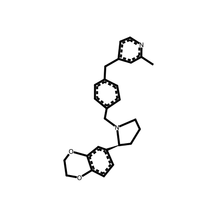 Cc1cc(Cc2ccc(CN3CCC[C@H]3c3ccc4c(c3)OCCO4)cc2)ccn1